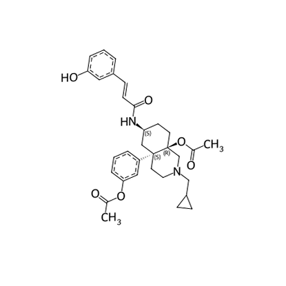 CC(=O)Oc1cccc([C@@]23CCN(CC4CC4)C[C@@]2(OC(C)=O)CC[C@H](NC(=O)C=Cc2cccc(O)c2)C3)c1